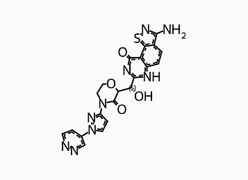 Nc1nsc2c1ccc1[nH]c([C@H](O)C3OCCN(c4ccn(-c5ccnnc5)n4)C3=O)nc(=O)c12